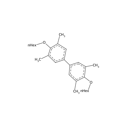 CCCCCCOc1c(C)cc(-c2cc(C)c(OCCCCCC)c(C)c2)cc1C